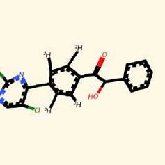 [2H]c1c([2H])c(-c2nc(Cl)ncc2Cl)c([2H])c([2H])c1C(=O)C(O)c1ccccc1